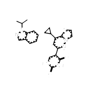 CC(C)n1ncc2ccc([C@@H]3CC3c3cc(-c4c[nH]c(=O)[nH]c4=O)nn4ccnc34)cc21